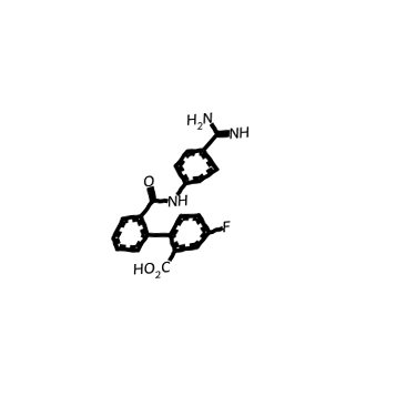 N=C(N)c1ccc(NC(=O)c2ccccc2-c2ccc(F)cc2C(=O)O)cc1